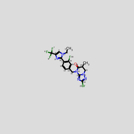 CCn1cc(C(F)(F)F)nc1-c1ccc(CN2C(=O)C(C)Cn3nc(Br)nc32)cc1F